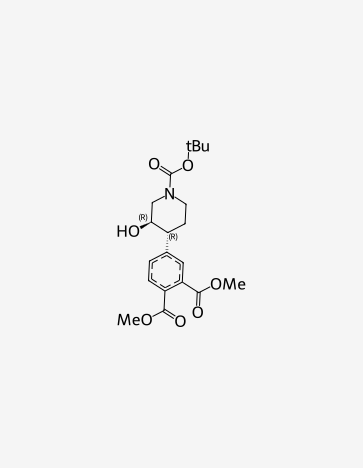 COC(=O)c1ccc([C@H]2CCN(C(=O)OC(C)(C)C)C[C@@H]2O)cc1C(=O)OC